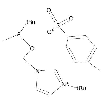 CP(OCn1cc[n+](C(C)(C)C)c1)C(C)(C)C.Cc1ccc(S(=O)(=O)[O-])cc1